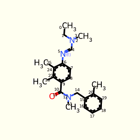 CCN(C)/C=N/c1ccc(C(=O)N(C)Cc2ccccc2C)c(C)c1C